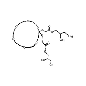 O=C(COC1(OCC(=O)OCC(O)CO)COCCOCCOCCOCCOCCO1)OCC(O)CO